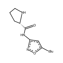 CC(C)(C)c1cc(NC(=O)[C@@H]2CCCN2)no1